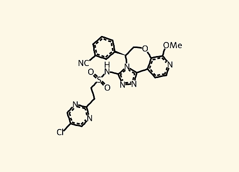 COc1nccc2c1OC[C@H](c1cccc(C#N)c1)n1c(NS(=O)(=O)CCc3ncc(Cl)cn3)nnc1-2